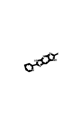 Ic1nc2nc3[nH]c(-c4ccccn4)nc3cc2[nH]1